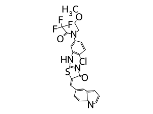 COCCN(C(=O)C(F)(F)F)c1ccc(Cl)c(NC2=NC(=O)C(=Cc3ccc4ncccc4c3)S2)c1